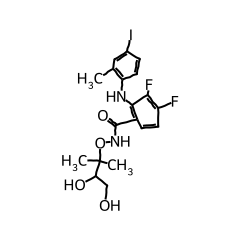 Cc1cc(I)ccc1Nc1c(C(=O)NOC(C)(C)C(O)CO)ccc(F)c1F